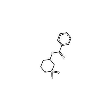 O=C(OC1CCOS(=O)(=O)C1)c1ccccc1